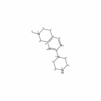 CN1CCc2cnc(N3CCNCC3)nc2C1